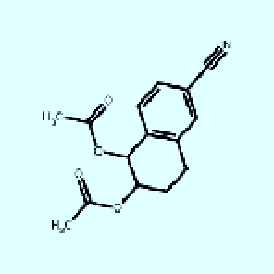 CC(=O)OC1CCc2cc(C#N)ccc2C1OC(C)=O